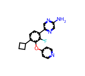 Nc1cnc(-c2ccc(C3CCC3)c(Oc3ccncc3)c2F)cn1